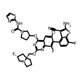 N#Cc1c(N)sc2c(F)ccc(-c3c(Cl)cc4c(OC5CCN(C(=O)Nc6nccs6)C5)nc(OC[C@@]56CCCN5C[C@H](F)C6)nc4c3F)c12